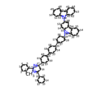 Cc1ccccc1-c1nc(-c2ccccc2)cc(-c2ccc(-c3ccc(-c4ccc(-n5c6ccccc6c6cc(-n7c8ccccc8c8ccccc87)ccc65)cc4)cc3)cc2)n1